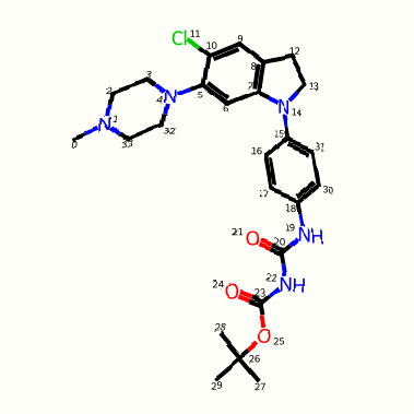 CN1CCN(c2cc3c(cc2Cl)CCN3c2ccc(NC(=O)NC(=O)OC(C)(C)C)cc2)CC1